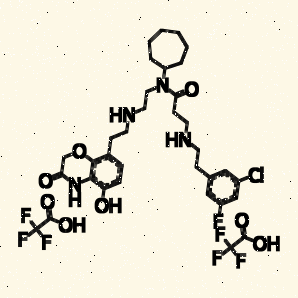 O=C(O)C(F)(F)F.O=C(O)C(F)(F)F.O=C1COc2c(CCNCCN(C(=O)CCNCCc3cc(F)cc(Cl)c3)C3CCCCCC3)ccc(O)c2N1